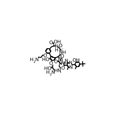 CNCC[C@H](NC(=O)c1c(C)nc(-c2c(C)cc(C(C)(C)C)cc2O)nc1N)C(=O)N(C)[C@@H]1C(=O)N[C@@H](C)C(=O)N[C@H](C(=O)O)Cc2ccc(OCCCN)c(c2)-c2cc1cc(OC[C@H](O)CN)c2O